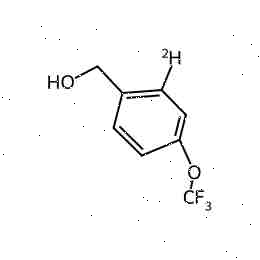 [2H]c1cc(OC(F)(F)F)ccc1CO